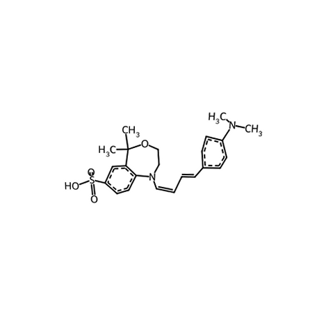 CN(C)c1ccc(/C=C/C=C\N2CCOC(C)(C)c3cc(S(=O)(=O)O)ccc32)cc1